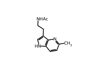 CC(=O)NCCc1c[nH]c2ccc(C)nc12